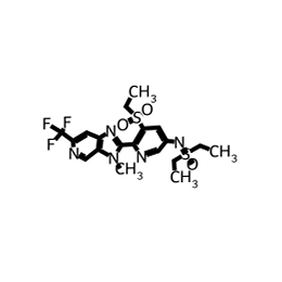 CCS(=O)(=O)c1cc(N=S(=O)(CC)CC)cnc1-c1nc2cc(C(F)(F)F)ncc2n1C